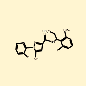 COc1cccc(F)c1C(CC(=O)O)NC(=O)c1cc(O)n(-c2ccccc2Cl)n1